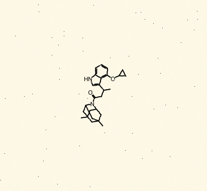 CC(CC(=O)N1C2CC3(C)CC1CC(C)(C2)C3)c1c[nH]c2cccc(OC3CC3)c12